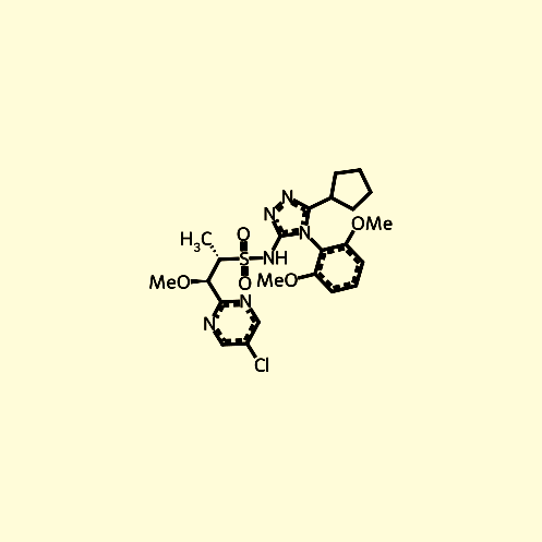 COc1cccc(OC)c1-n1c(NS(=O)(=O)[C@@H](C)[C@H](OC)c2ncc(Cl)cn2)nnc1C1CCCC1